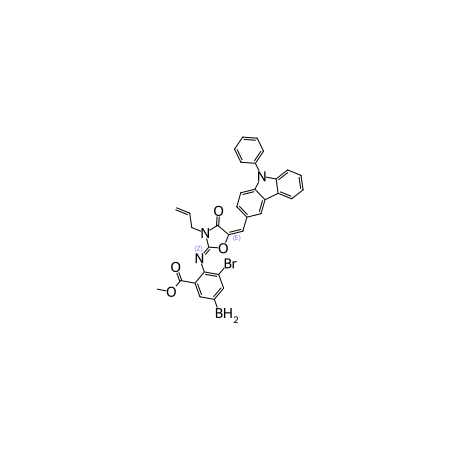 Bc1cc(Br)c(/N=C2\O/C(=C/c3ccc4c(c3)c3ccccc3n4-c3ccccc3)C(=O)N2CC=C)c(C(=O)OC)c1